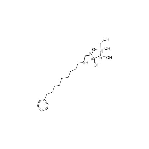 OC[C@]1(O)O[C@H](CNCCCCCCCCCc2ccccc2)[C@H](O)[C@H]1O